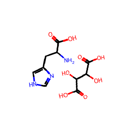 NC(Cc1c[nH]cn1)C(=O)O.O=C(O)C(O)C(O)C(=O)O